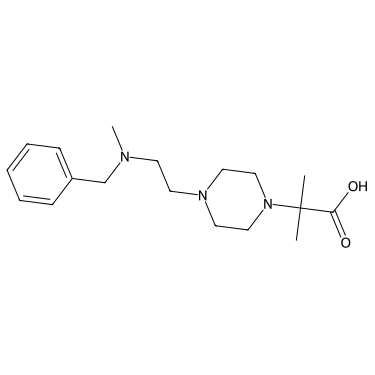 CN(CCN1CCN(C(C)(C)C(=O)O)CC1)Cc1ccccc1